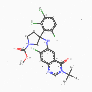 [2H]C([2H])([2H])n1cnc2cc(F)c(NC3(c4c(F)ccc(Cl)c4Cl)CCN(C(=O)OC(C)(C)C)C3)cc2c1=O